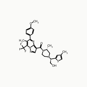 COc1ccc(-c2nc3c(C(=O)N4CCN([C@H](CO)c5cc(C)cs5)C[C@H]4C)cnn3c(C(F)(F)F)c2C)cc1